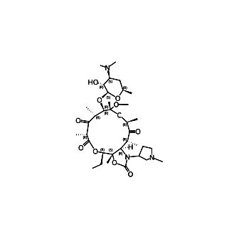 CC[C@H]1OC(=O)[C@H](C)C(=O)[C@H](C)[C@@H](O[C@@H]2O[C@H](C)C[C@H](N(C)C)[C@H]2O)[C@](C)(OC)C[C@@H](C)C(=O)[C@H](C)[C@H]2N(C3CCN(C)C3)C(=O)O[C@]12C